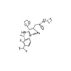 C[C@@H](Nc1ncnc(CC(=O)NC2CCC2)c1C1OCCO1)c1cccc(C(F)F)c1F